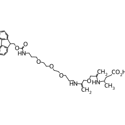 C=C(COCC(=C)NC(C)CCC(=O)O)NCCCOCCOCCOCCCNC(=O)OCC1c2ccccc2-c2ccccc21